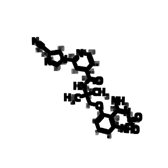 CC(C)(COc1cccc2c1C(N)=NS(=O)(=O)N2)NC(=O)c1ccnc(-n2cnc(C#N)c2)c1